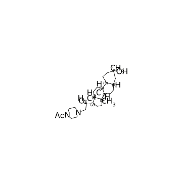 CC(=O)N1CCN(CC(=O)[C@H]2CC[C@@]3(C)[C@@H]4CC[C@@H]5C[C@](C)(O)CC[C@@H]5[C@@]4(C)CC[C@]23C)CC1